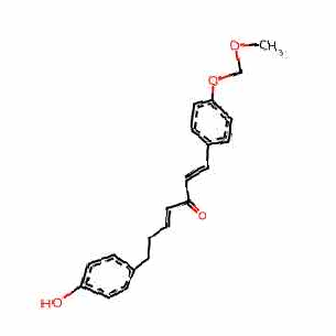 COCOc1ccc(C=CC(=O)C=CCCc2ccc(O)cc2)cc1